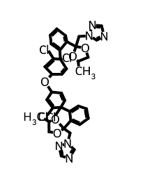 CC1COC(Cn2cncn2)(c2ccccc2C2(Cl)C=CC(OC3C=CC(Cl)(c4ccccc4C4(Cn5cncn5)OCC(C)O4)C(Cl)=C3)C=C2Cl)O1